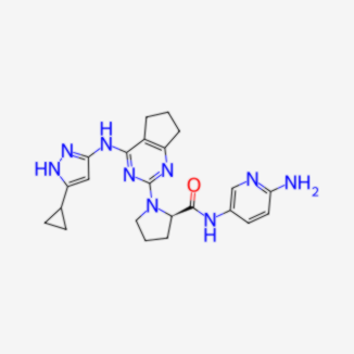 Nc1ccc(NC(=O)[C@H]2CCCN2c2nc3c(c(Nc4cc(C5CC5)[nH]n4)n2)CCC3)cn1